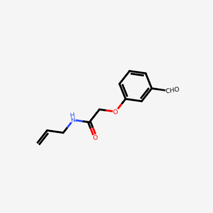 C=CCNC(=O)COc1cccc(C=O)c1